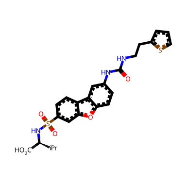 CC(C)[C@H](NS(=O)(=O)c1ccc2c(c1)oc1ccc(NC(=O)NCCc3cccs3)cc12)C(=O)O